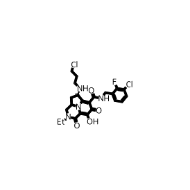 CCN1CC2C[C@@H](NCCCCl)c3c(C(=O)NCc4cccc(Cl)c4F)c(=O)c(O)c(n32)C1=O